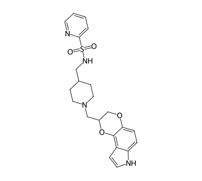 O=S(=O)(NCC1CCN(CC2COc3ccc4[nH]ccc4c3O2)CC1)c1ccccn1